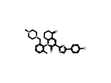 Cc1cccc(CN2CCN(C)CC2)c1-n1c2c(cc(-c3nc(-c4ccc(Cl)cc4)cs3)c1=O)C(=O)CCC2